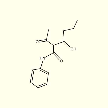 CCCC(O)C(C(C)=O)C(=O)Nc1ccccc1